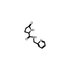 O=C1CCC(C(=O)NCc2ccccn2)N1